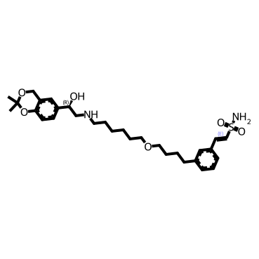 CC1(C)OCc2cc([C@@H](O)CNCCCCCCOCCCCc3cccc(/C=C/S(N)(=O)=O)c3)ccc2O1